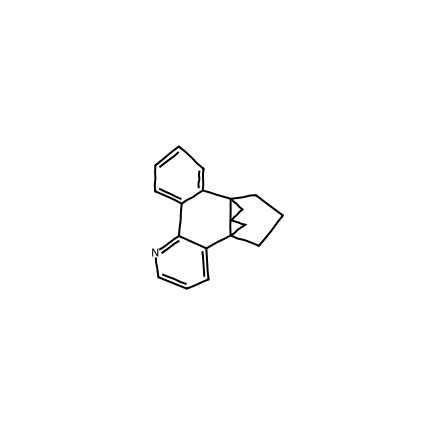 c1ccc2c(c1)-c1ncccc1C13CCCC21CCC3